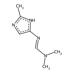 Cc1ncc(N=CN(C)C)[nH]1